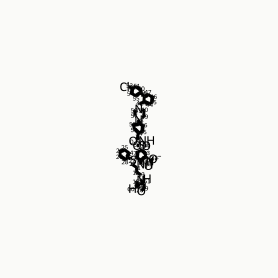 O=C(NS(=O)(=O)c1ccc(NC(CCN2C[C@H]3C[C@@H]2CO3)CSc2ccccc2)c([N+](=O)[O-])c1)c1ccc(N2CCN(Cc3ccccc3-c3ccc(Cl)cc3)CC2)cc1